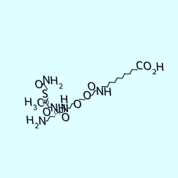 C[C@@H](CSCC(N)=O)C(=O)N[C@@H](CCCN)C(=O)NCCOCCOCC(=O)NCCCCCCCCCCC(=O)O